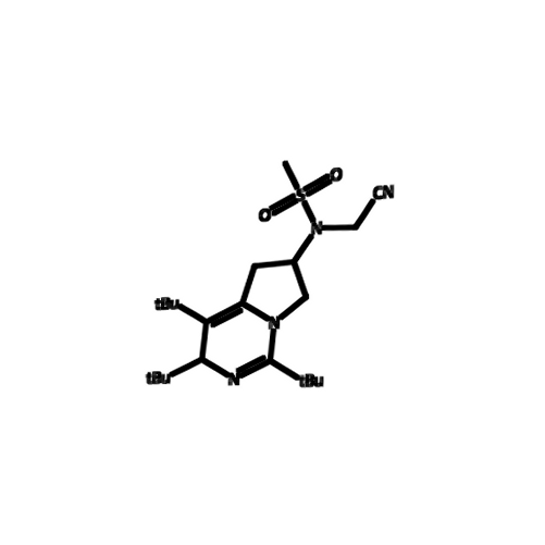 CC(C)(C)C1=NC(C(C)(C)C)C(C(C)(C)C)=C2CC(N(CC#N)S(C)(=O)=O)CN12